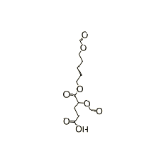 O=COCCCCCOC(=O)C(CCC(=O)O)OC=O